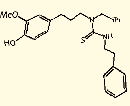 COc1cc(CCCN(CC(C)C)C(=S)NCCc2ccccc2)ccc1O